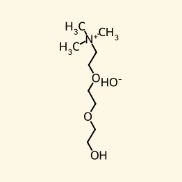 C[N+](C)(C)CCOCCOCCO.[OH-]